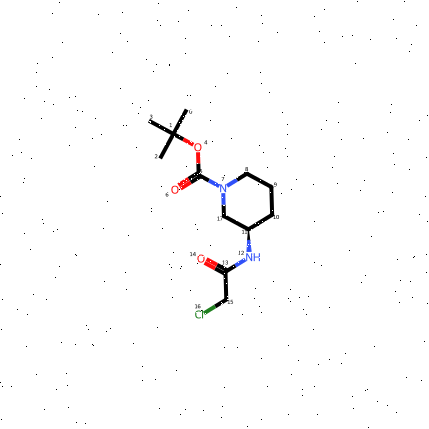 CC(C)(C)OC(=O)N1CCC[C@@H](NC(=O)CCl)C1